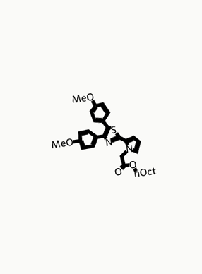 CCCCCCCCOC(=O)Cn1cccc1-c1nc(-c2ccc(OC)cc2)c(-c2ccc(OC)cc2)s1